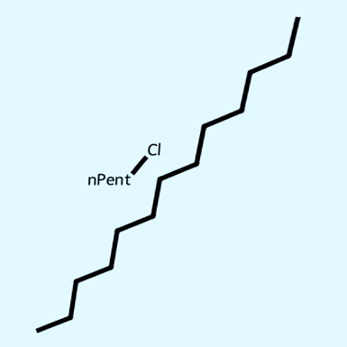 CCCCCCCCCCCCC.CCCCCCl